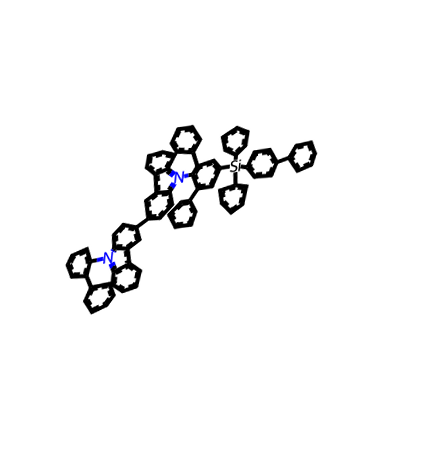 c1ccc(-c2ccc([Si](c3ccccc3)(c3ccccc3)c3cc(-c4ccccc4)c(-n4c5ccccc5c5cc(-c6ccc7c(c6)c6ccccc6n7-c6ccccc6-c6ccccc6)ccc54)c(-c4ccccc4)c3)cc2)cc1